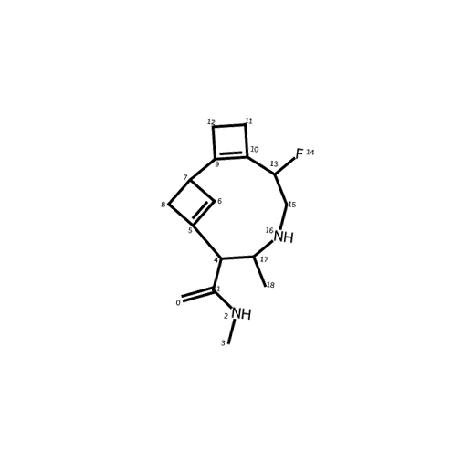 C=C(NC)C1C2=CC(C2)C2=C(CC2)C(F)CNC1C